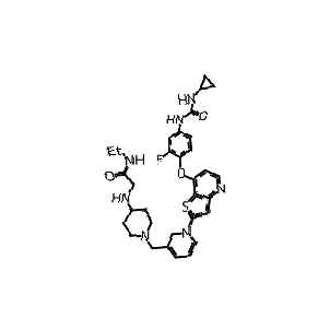 CCNC(=O)CNC1CCN(CC2=CC=CN(c3cc4nccc(Oc5ccc(NC(=O)NC6CC6)cc5F)c4s3)C2)CC1